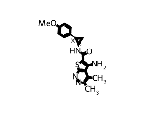 COc1ccc([C@H]2C[C@@H]2NC(=O)c2sc3nnc(C)c(C)c3c2N)cc1